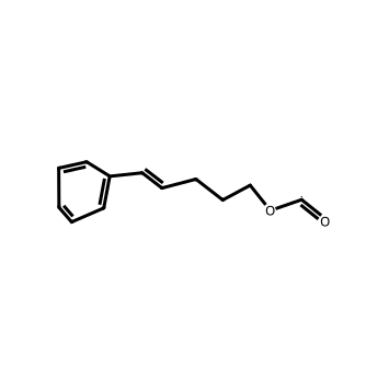 O=[C]OCCCC=Cc1ccccc1